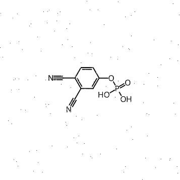 N#Cc1ccc(OP(=O)(O)O)cc1C#N